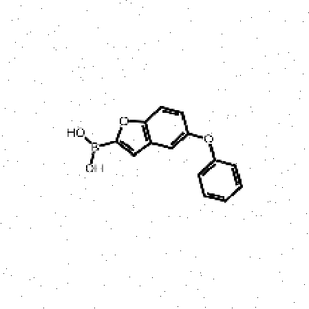 OB(O)c1cc2cc(Oc3ccccc3)ccc2o1